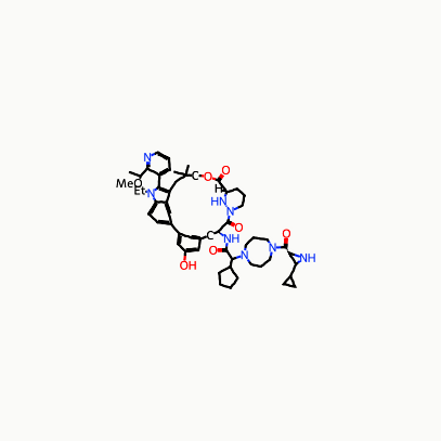 CCn1c(-c2cccnc2[C@H](C)OC)c2c3cc(ccc31)-c1cc(O)cc(c1)C[C@H](NC(=O)C(C1CCCC1)N1CCCN(C(=O)[C@@H]3NC3C3CC3)CCC1)C(=O)N1CCC[C@H](N1)C(=O)OCC(C)(C)C2